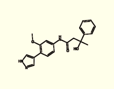 COc1cc(NC(=O)CC(C)(O)c2ccccc2)ccc1-c1cn[nH]c1